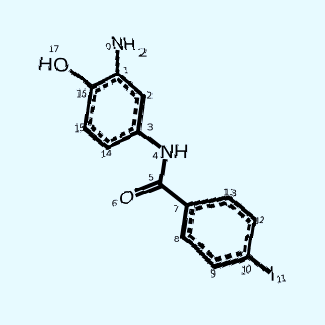 Nc1cc(NC(=O)c2ccc(I)cc2)ccc1O